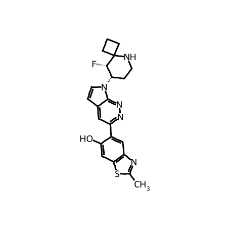 Cc1nc2cc(-c3cc4ccn([C@H]5CCNC6(CCC6)[C@H]5F)c4nn3)c(O)cc2s1